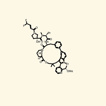 CCn1c(-c2cccnc2[C@H](C)OC)c2c3cc(ccc31)-c1cccc(c1)C[C@H](NC(=O)[C@H](C(C)C)N(C)C(=O)[C@@]1(O)CCN(C(=O)/C=C/C(F)F)C1)C(=O)N1CCC[C@H](N1)C(=O)OCC(C)(C)C2